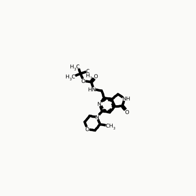 CC1COCCN1c1cc2c(c(CNC(=O)OC(C)(C)C)n1)CNC2=O